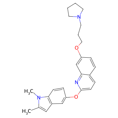 Cc1cc2cc(Oc3ccc4ccc(OCCCN5CCCC5)cc4n3)ccc2n1C